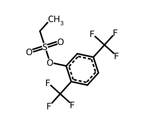 CCS(=O)(=O)Oc1cc(C(F)(F)F)ccc1C(F)(F)F